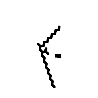 CCCCCCCCCCCCC(CC(C)CCCCCCCCCC)N(C)C.Cl